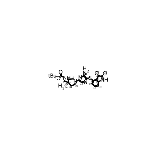 CC1(CNC(=O)OC(C)(C)C)CCN(c2cnc(Sc3cccc4c3C(=O)C(=O)N4)c(N)n2)CC1